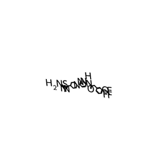 Nc1nnc(C2CCN(c3ccc(NC(=O)Cc4cccc(OC(F)(F)F)c4)nn3)CC2)s1